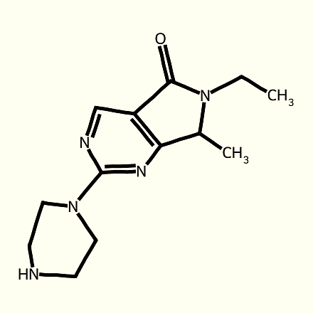 CCN1C(=O)c2cnc(N3CCNCC3)nc2C1C